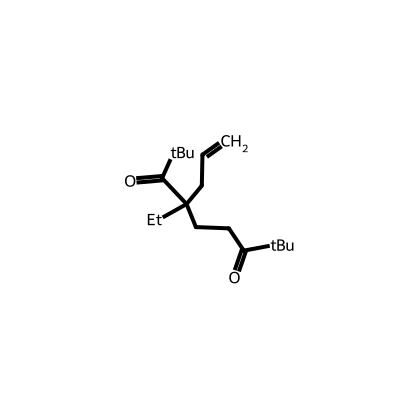 C=CCC(CC)(CCC(=O)C(C)(C)C)C(=O)C(C)(C)C